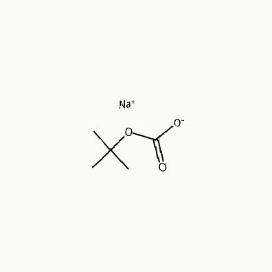 CC(C)(C)OC(=O)[O-].[Na+]